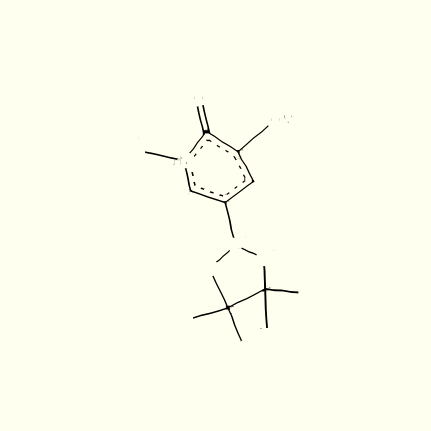 COc1cc(B2OC(C)(C)C(C)(C)O2)cn(C(C)C)c1=O